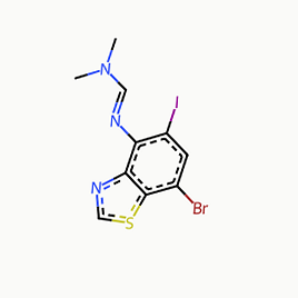 CN(C)/C=N/c1c(I)cc(Br)c2scnc12